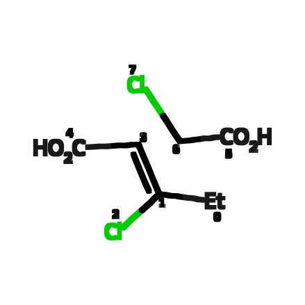 CCC(Cl)=CC(=O)O.O=C(O)CCl